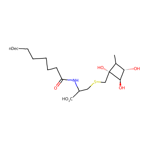 CCCCCCCCCCCCCCCC(=O)NC(CSC[C@@]1(O)C(C)[C@H](O)[C@H]1O)C(=O)O